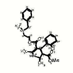 COC(=O)C1C(C)NC(C)=C(C(=O)OCCN(C)Cc2ccccc2)C1c1ccccc1Cl